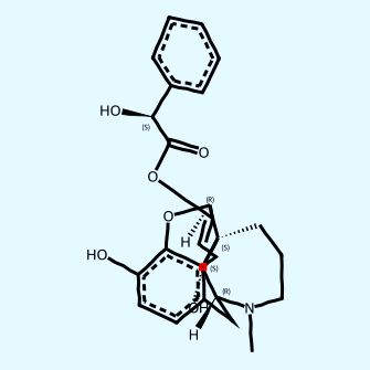 CN1CCC[C@]23c4c5ccc(O)c4O[C@H]2C(OC(=O)[C@@H](O)c2ccccc2)=CC[C@@]3(O)[C@H]1C5